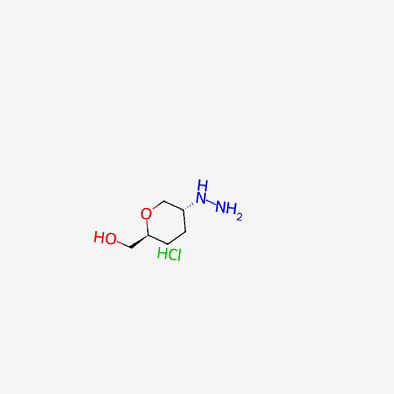 Cl.NN[C@@H]1CC[C@@H](CO)OC1